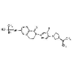 CC(C)C(C)(O)C#Cc1ccc2c(c1)CCN(c1ccc(N3CC[C@@H](N(C)C)C3)c(F)c1)C2=O